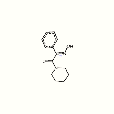 O=C(/C(=N/O)c1ccccc1)N1CCCCC1